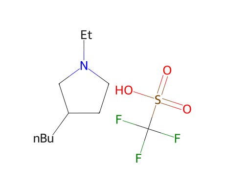 CCCCC1CCN(CC)C1.O=S(=O)(O)C(F)(F)F